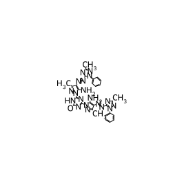 Cc1nc(N=Nc2c(C)nn(-c3nc(-n4nc(C)c(N=Nc5nc(C)nn5-c5ccccc5)c4N)[nH]c(=O)n3)c2N)n(-c2ccccc2)n1